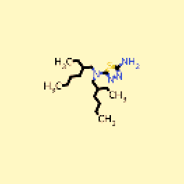 CCCCC(CC)CN(CC(CC)CCCC)c1nnc(N)s1